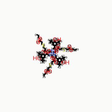 CCCOC(=O)CCSCCC(=O)OC(Cn1c(=O)n(CC(OC(=O)CCSCCC(=O)OCCC)c2cc(C(C)(C)C)c(O)c(C(C)(C)C)c2)c(=O)n(CC(OC(=O)CCSCCC(=O)OCCC)c2cc(C(C)(C)C)c(O)c(C(C)(C)C)c2)c1=O)c1cc(C(C)(C)C)c(O)c(C(C)(C)C)c1